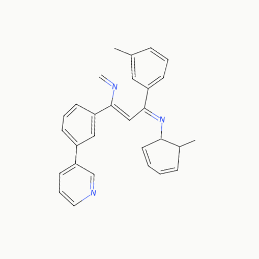 C=N/C(=C\C(=N/C1C=CC=CC1C)c1cccc(C)c1)c1cccc(-c2cccnc2)c1